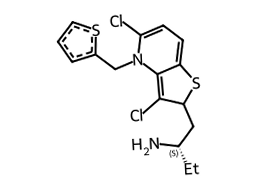 CC[C@H](N)CC1SC2=CC=C(Cl)N(Cc3cccs3)C2=C1Cl